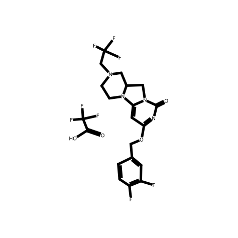 O=C(O)C(F)(F)F.O=c1nc(OCc2ccc(F)c(F)c2)cc2n1CC1CN(CC(F)(F)F)CCN21